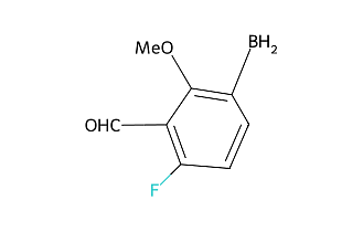 Bc1ccc(F)c(C=O)c1OC